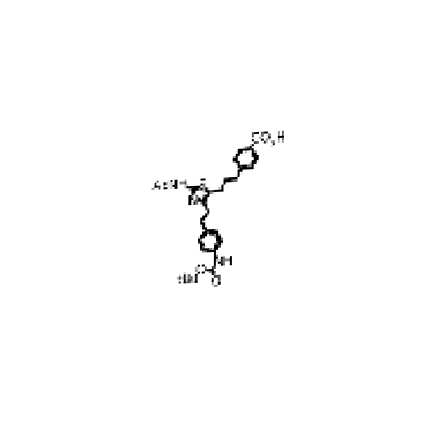 CC(=O)Nc1nc(CCc2ccc(NC(=O)OC(C)(C)C)cc2)c(CCCc2ccc(C(=O)O)cc2)s1